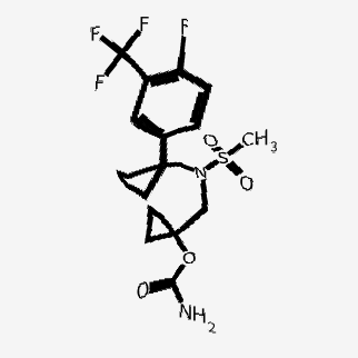 CS(=O)(=O)N(CC1(OC(N)=O)CC1)C1(c2ccc(F)c(C(F)(F)F)c2)CC1